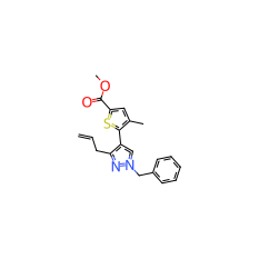 C=CCc1nn(Cc2ccccc2)cc1-c1sc(C(=O)OC)cc1C